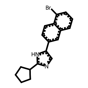 Brc1cccc2cc(-c3cnc(C4CCCC4)[nH]3)ccc12